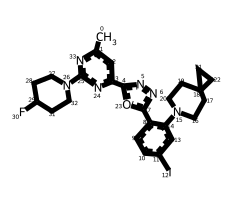 Cc1cc(-c2nnc(-c3ccc(I)cc3N3CCC4(CC3)CC4)o2)nc(N2CCC(F)CC2)n1